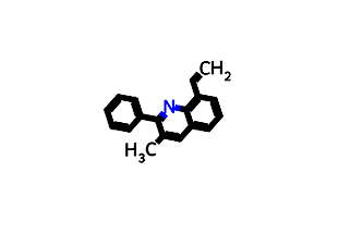 C=Cc1cccc2cc(C)c(-c3ccccc3)nc12